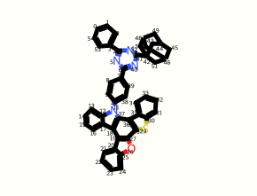 c1ccc(-c2nc(-c3ccc(-n4c5ccccc5c5c6c7ccccc7oc6c6sc7ccccc7c6c54)cc3)nc(C34CC5CC(CC(C5)C3)C4)n2)cc1